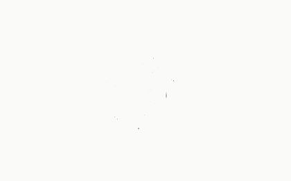 NC(CC[C]=O)C(=O)O.O=[N+]([O-])c1c(Cl)cccc1-c1c[nH]cc1Cl